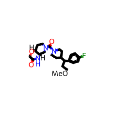 COCCC(c1ccc(F)cc1)C1CCN(C(=O)N2CC[C@@H]3OCC(=O)N[C@@H]3C2)CC1